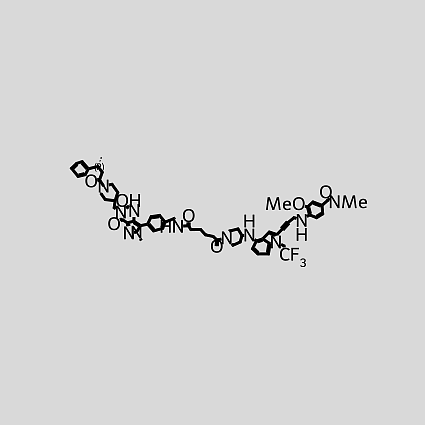 CNC(=O)c1ccc(NCC#Cc2cc3c(NC4CCN(C(=O)CCCCC(=O)NCc5ccc(-c6c7ncn(CC8(O)CCN(C(=O)C[C@@H](C)c9ccccc9)CC8)c(=O)c7nn6C)cc5)CC4)cccc3n2CC(F)(F)F)c(OC)c1